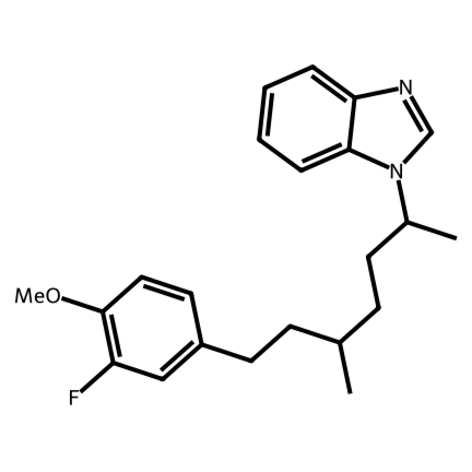 COc1ccc(CCC(C)CCC(C)n2cnc3ccccc32)cc1F